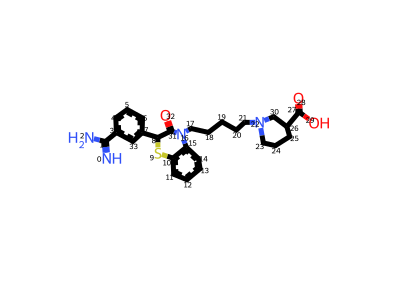 N=C(N)c1cccc(C2Sc3ccccc3N(CCCCCN3CCCC(C(=O)O)C3)C2=O)c1